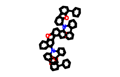 c1ccc(-c2ccccc2N(c2cc3c(oc4ccc5c(N(c6ccccc6-c6ccccc6)c6cccc7c6oc6c(-c8ccccc8)cccc67)cccc5c43)c3ccccc23)c2cccc3c2oc2c(-c4ccccc4)cccc23)cc1